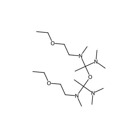 CCOCCN(C)C(C)(OC(C)(N(C)C)N(C)CCOCC)N(C)C